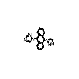 c1ccc2c(-n3ccnn3)c3ccccc3c(-n3cncn3)c2c1